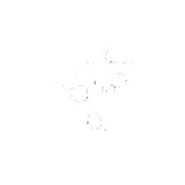 Cc1nc(F)ccc1Oc1ccc(C(F)(F)F)c(F)c1C(=O)Nc1cccc([S@@](C)(=O)=NC(=O)[C@@H](C)O)c1